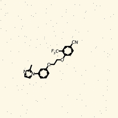 Cc1nccn1-c1cccc(OCCOc2ccc(C#N)cc2C(F)(F)F)c1